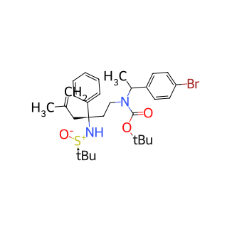 C=C(C)C[C@@](CCN(C(=O)OC(C)(C)C)C(C)c1ccc(Br)cc1)(N[S@+]([O-])C(C)(C)C)c1ccccc1